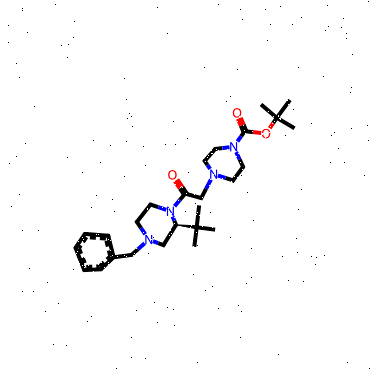 CC(C)(C)OC(=O)N1CCN(CC(=O)N2CCN(Cc3ccccc3)C[C@@H]2C(C)(C)C)CC1